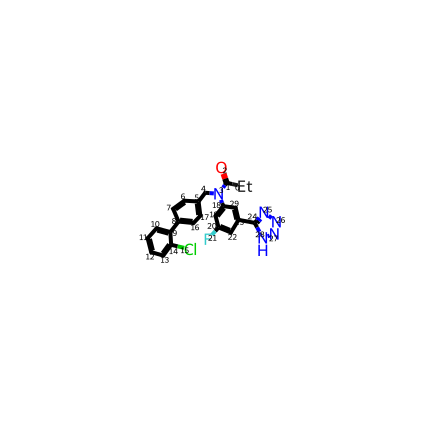 CCC(=O)N(Cc1ccc(-c2ccccc2Cl)cc1)c1cc(F)cc(-c2nnn[nH]2)c1